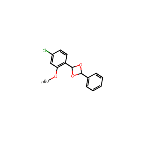 CCCCOc1cc(Cl)ccc1C1OC(c2ccccc2)O1